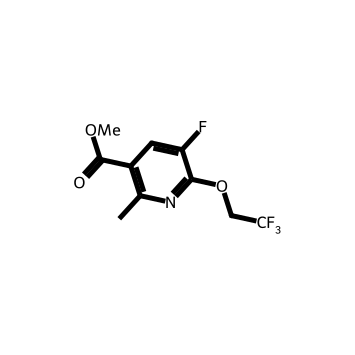 COC(=O)c1cc(F)c(OCC(F)(F)F)nc1C